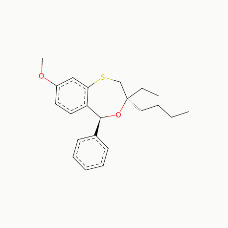 CCCC[C@@]1(CC)CSc2cc(OC)ccc2[C@H](c2ccccc2)O1